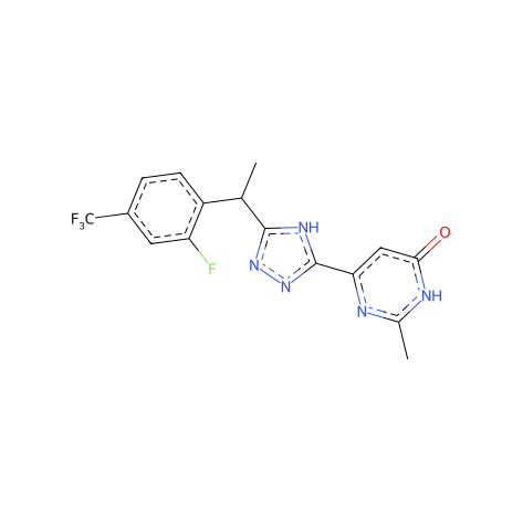 Cc1nc(-c2nnc(C(C)c3ccc(C(F)(F)F)cc3F)[nH]2)cc(=O)[nH]1